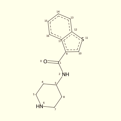 O=C(NC1CCNCC1)c1csc2ccccc12